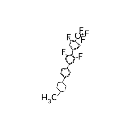 CCC1CCC(c2ccc(-c3cc(F)c(-c4ccc(OC(F)(F)F)c(F)c4)c(F)c3)cc2)CC1